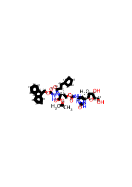 C=C1[C@H](c2cc(NC(=O)OCC[C@H](C(=O)OC(C)C)N(NC(=O)OCC3c4ccccc4-c4ccccc43)C(=O)CCC3CCCCC3)nc(=O)[nH]2)O[C@H](CO)[C@H]1O